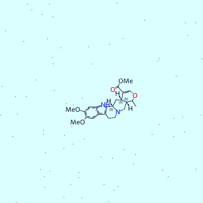 COC(=O)C1=COC(C)[C@@H]2CN3CCc4c([nH]c5cc(OC)c(OC)cc45)[C@@H]3C[C@H]12